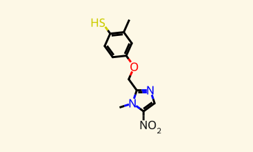 Cc1cc(OCc2ncc([N+](=O)[O-])n2C)ccc1S